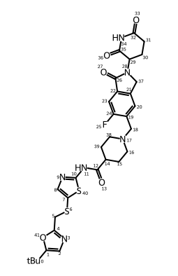 CC(C)(C)c1cnc(CSc2cnc(NC(=O)C3CCN(Cc4cc5c(cc4F)C(=O)N(C4CCC(=O)NC4=O)C5)CC3)s2)o1